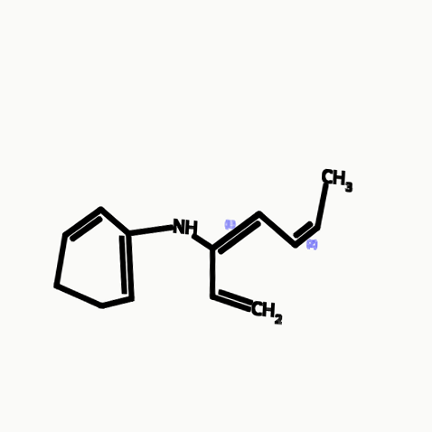 C=C/C(=C\C=C/C)NC1=CCCC=C1